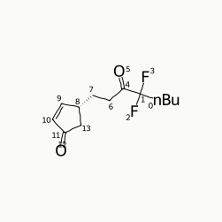 CCCCC(F)(F)C(=O)CC[C@H]1C=CC(=O)C1